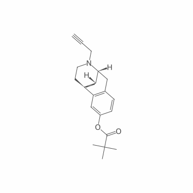 C#CCN1CC[C@]23CCCC[C@H]2[C@H]1Cc1ccc(OC(=O)C(C)(C)C)cc13